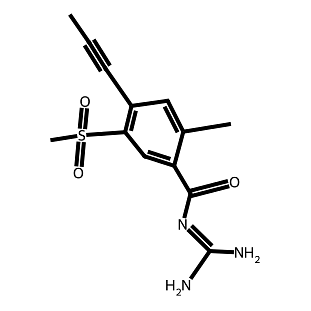 CC#Cc1cc(C)c(C(=O)N=C(N)N)cc1S(C)(=O)=O